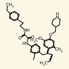 C=c1cc(OCC2CCNCC2)c(OC)c/c1=C(/C=C\C)Cc1ccc(NC(=O)C(=O)NCCc2ccc(CC)cc2)cc1F